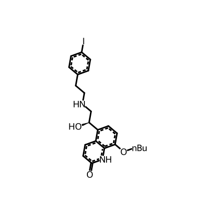 CCCCOc1ccc([C@@H](O)CNCCc2ccc(I)cc2)c2ccc(=O)[nH]c12